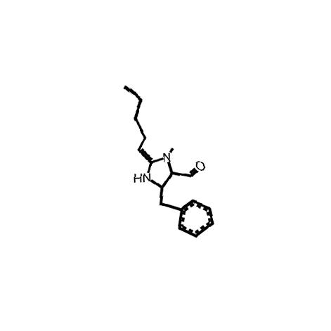 CCCCC=C1NC(Cc2ccccc2)C(C=O)N1C